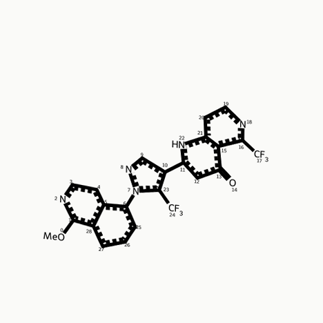 COc1nccc2c(-n3ncc(-c4cc(=O)c5c(C(F)(F)F)nccc5[nH]4)c3C(F)(F)F)cccc12